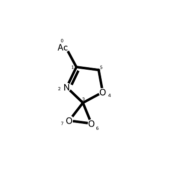 CC(=O)C1=NC2(OC1)OO2